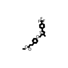 CCOC(=O)CCc1ccc(OCc2sc(-c3ccc(C(F)(F)F)cc3)cc2C)cc1